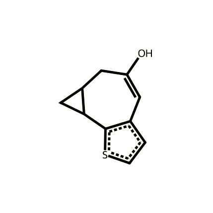 OC1=Cc2ccsc2C2CC2C1